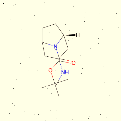 CNC1CC2CC[C@H](C1)N2C(=O)OC(C)(C)C